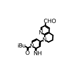 CCC(C)C(=O)n1ccc(N2CCCc3cc(C=O)cnc32)cc1=N